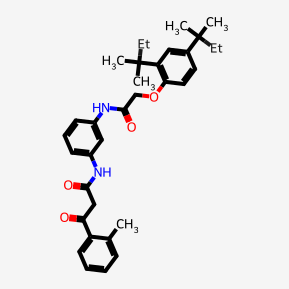 CCC(C)(C)c1ccc(OCC(=O)Nc2cccc(NC(=O)CC(=O)c3ccccc3C)c2)c(C(C)(C)CC)c1